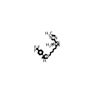 Cc1cnc(-c2nnc(CCCCCN3C[C@@H]4C[C@]4(c4ccc(C(F)(F)F)cc4)C3)n2C)cn1